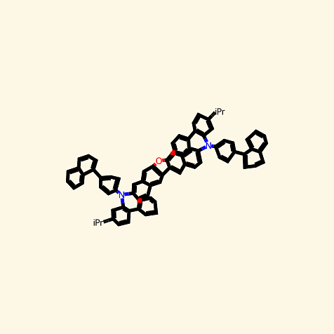 CC(C)c1ccc(-c2ccccc2)c(N(c2ccc(-c3cccc4ccccc34)cc2)c2ccc3cc4c(cc3c2)oc2cc3cc(N(c5ccc(-c6cccc7ccccc67)cc5)c5cc(C(C)C)ccc5-c5ccccc5)ccc3cc24)c1